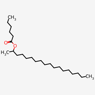 CCCCCCCCCCCCCCCCC(C)OC(=O)CCCCC